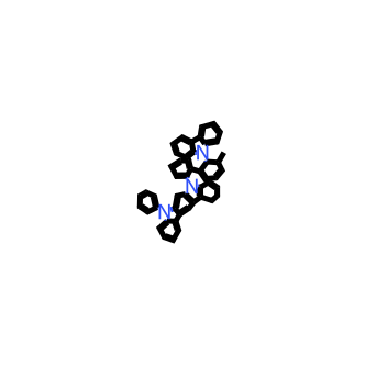 CC1C=CC=C(c2ccccc2-n2c3c(c4cc5c6ccccc6n(-c6ccccc6)c5cc42)CCC=C3)C1n1c2ccccc2c2ccccc21